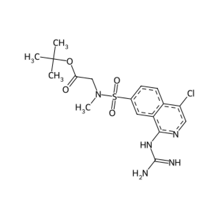 CN(CC(=O)OC(C)(C)C)S(=O)(=O)c1ccc2c(Cl)cnc(NC(=N)N)c2c1